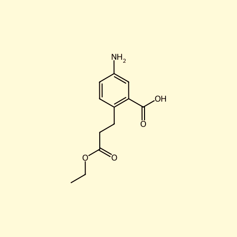 CCOC(=O)CCc1ccc(N)cc1C(=O)O